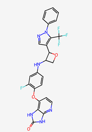 O=c1[nH]c2nccc(Oc3ccc(NC4COC4c4cnn(-c5ccccc5)c4C(F)(F)F)cc3F)c2[nH]1